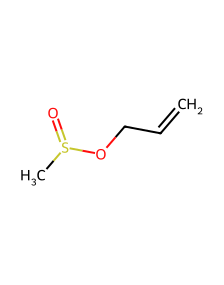 C=CCOS(C)=O